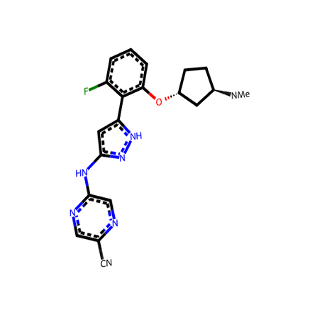 CN[C@@H]1CC[C@@H](Oc2cccc(F)c2-c2cc(Nc3cnc(C#N)cn3)n[nH]2)C1